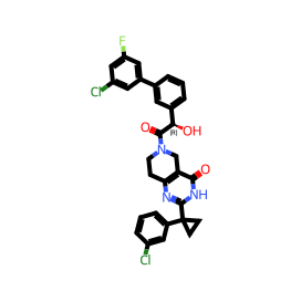 O=C([C@H](O)c1cccc(-c2cc(F)cc(Cl)c2)c1)N1CCc2nc(C3(c4cccc(Cl)c4)CC3)[nH]c(=O)c2C1